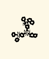 c1ccc(-c2nc3cc(-c4nc(-c5ccc6ccccc6c5)nc(-c5ccc6c(c5)nc(-c5ccccc5)n6-c5cccc6ccccc56)n4)ccc3n2-c2ccccc2)cc1